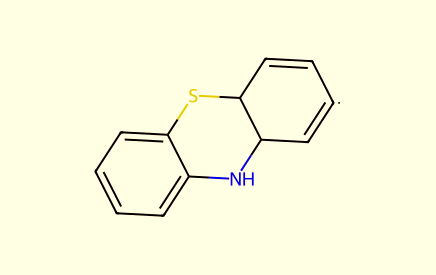 [C]1=CC2Nc3ccccc3SC2C=C1